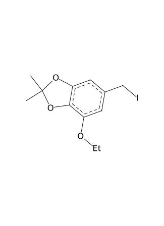 CCOc1cc(CI)cc2c1OC(C)(C)O2